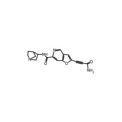 NC(=O)C#Cc1cc2cnc(C(=O)NC3CN4CCC3C4)cc2o1